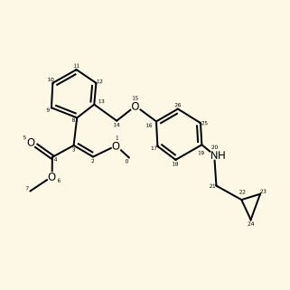 CO/C=C(/C(=O)OC)c1ccccc1COc1ccc(NCC2CC2)cc1